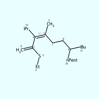 C=C(SCC)/C(=C(/C)CCC(CCCCC)C(C)CC)C(C)C